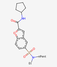 CCCCCN(CC)S(=O)(=O)c1ccc2oc(C(=O)NC3CCCC3)cc2c1